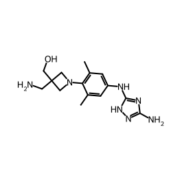 Cc1cc(Nc2nc(N)n[nH]2)cc(C)c1N1CC(CN)(CO)C1